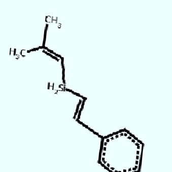 CC(C)=C[SiH2]C=Cc1ccccc1